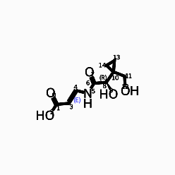 O=C(O)/C=C/NC(=O)[C@H](O)C1(CO)CC1